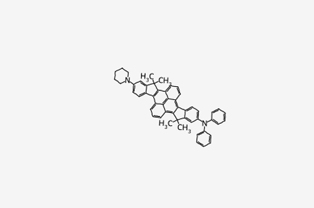 CC1(C)c2cc(N3CCCCC3)ccc2-c2c1c1cccc3c4c(c5cccc2c5c31)C(C)(C)c1cc(N(c2ccccc2)c2ccccc2)ccc1-4